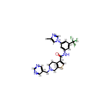 Cc1cn(-c2cc(NC(=O)c3csc4c3CCN(Cc3cncnc3)C4)cc(C(F)(F)F)c2)cn1